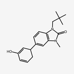 Cn1c(=O)n(CC(C)(C)C)c2ccc(C3C=C(O)C=CC3)cc21